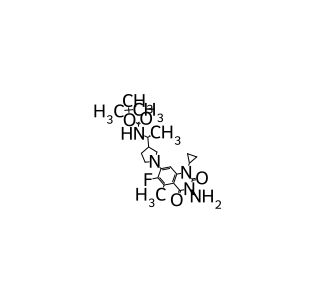 Cc1c(F)c(N2CCC([C@H](C)NC(=O)OC(C)(C)C)C2)cc2c1c(=O)n(N)c(=O)n2C1CC1